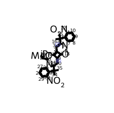 COC1=C(/C=C2\N(C)c3cccc([N+](=O)[O-])c3C2(C)C)C(=O)/C1=C/C1=[N+](CCC(C)C)c2cccc([N+](=O)[O-])c2C1(C)C